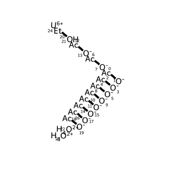 CC(=O)[O-].CC(=O)[O-].CC(=O)[O-].CC(=O)[O-].CC(=O)[O-].CC(=O)[O-].CC(=O)[O-].CC(=O)[O-].CC(=O)[O-].CC(=O)[O-].CCO.[OH4+2].[OH4+2].[U+6]